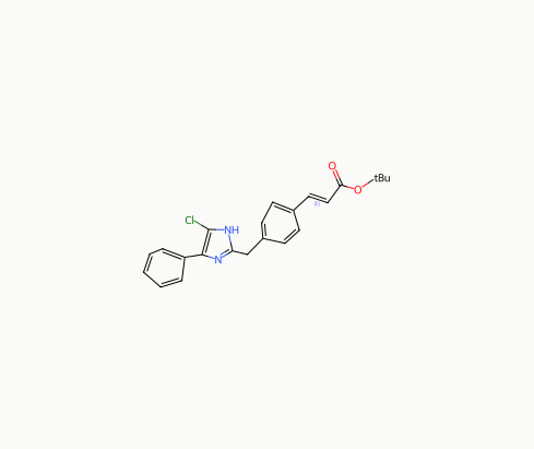 CC(C)(C)OC(=O)/C=C/c1ccc(Cc2nc(-c3ccccc3)c(Cl)[nH]2)cc1